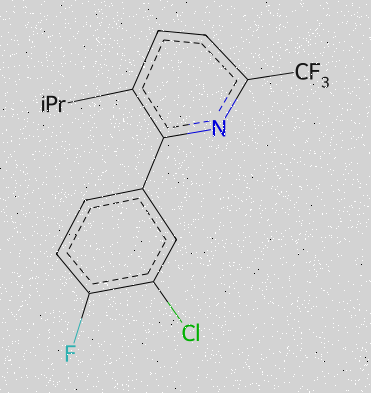 CC(C)c1ccc(C(F)(F)F)nc1-c1ccc(F)c(Cl)c1